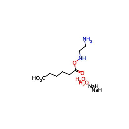 NCCNOC(=O)CCCCC(=O)O.O.O.[NaH].[NaH]